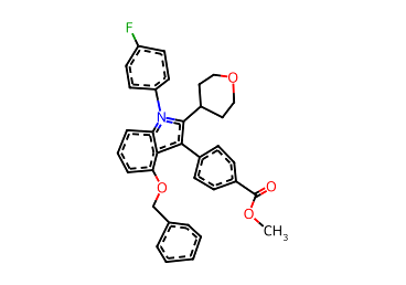 COC(=O)c1ccc(-c2c(C3CCOCC3)n(-c3ccc(F)cc3)c3cccc(OCc4ccccc4)c23)cc1